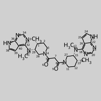 C[C@@H]1CCN(C(=O)CC(=O)N2CC[C@@H](C)[C@@H](N(C)c3ncnc4[nH]ccc34)C2)C[C@@H]1N(C)c1ncnc2[nH]ccc12